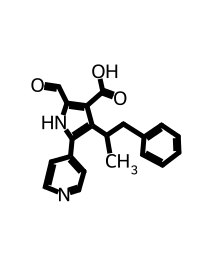 CC(Cc1ccccc1)c1c(-c2ccncc2)[nH]c(C=O)c1C(=O)O